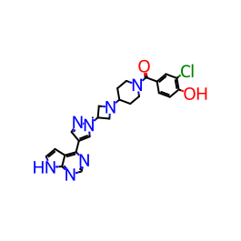 O=C(c1ccc(O)c(Cl)c1)N1CCC(N2C[C](n3cc(-c4ncnc5[nH]ccc45)cn3)C2)CC1